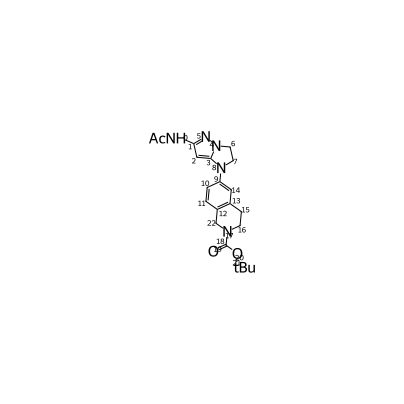 CC(=O)Nc1cc2n(n1)CCN2c1ccc2c(c1)CCN(C(=O)OC(C)(C)C)C2